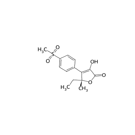 CC[C@@]1(C)OC(=O)C(O)=C1c1ccc(S(C)(=O)=O)cc1